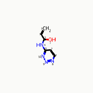 C=CC(O)Nc1ccnnn1